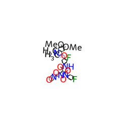 C=Nc1cc(OC)c(OC)cc1/C(=C\C)Oc1ccc(NC(=O)c2cn(CC(=O)N3CCOCC3)c(=O)n(-c3ccc(F)cc3)c2=O)cc1F